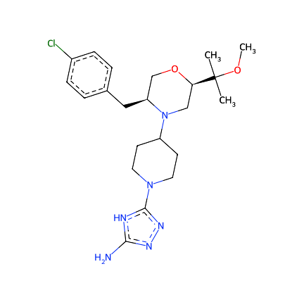 COC(C)(C)[C@H]1CN(C2CCN(c3nnc(N)[nH]3)CC2)[C@@H](Cc2ccc(Cl)cc2)CO1